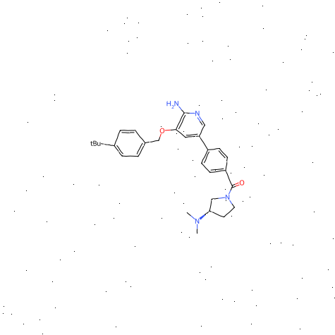 CN(C)[C@@H]1CCN(C(=O)c2ccc(-c3cnc(N)c(OCc4ccc(C(C)(C)C)cc4)c3)cc2)C1